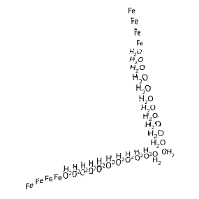 O.O.O.O.O.O.O.O.O.O.O.O.O.O.O.O.O.O.O.O.O.O.O.[Fe].[Fe].[Fe].[Fe].[Fe].[Fe].[Fe].[Fe]